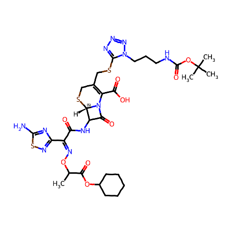 CC(ON=C(C(=O)NC1C(=O)N2C(C(=O)O)=C(CSc3nnnn3CCCNC(=O)OC(C)(C)C)CS[C@@H]12)c1nsc(N)n1)C(=O)OC1CCCCC1